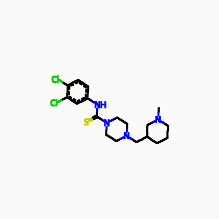 CN1CCCC(CN2CCN(C(=S)Nc3ccc(Cl)c(Cl)c3)CC2)C1